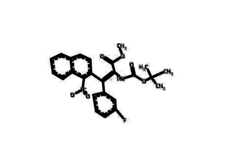 COC(=O)/C(NC(=O)OC(C)(C)C)=C(/c1cccc(F)c1)c1ccc2ccccc2c1[N+](=O)[O-]